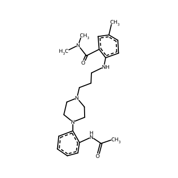 CC(=O)Nc1ccccc1N1CCN(CCCNc2ccc(C)cc2C(=O)N(C)C)CC1